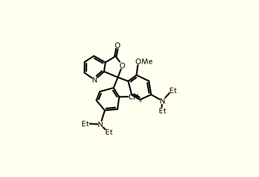 CCN(CC)c1ccc(C2(c3ccc(N(CC)CC)cc3OC)OC(=O)c3cccnc32)c(C)c1